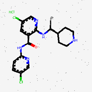 CC(C)C(Nc1ncc(Cl)cc1C(=O)Nc1ccc(Cl)cn1)C1CCNCC1.Cl